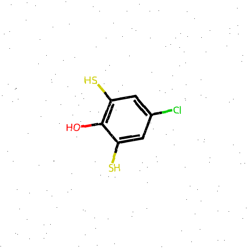 Oc1c(S)cc(Cl)cc1S